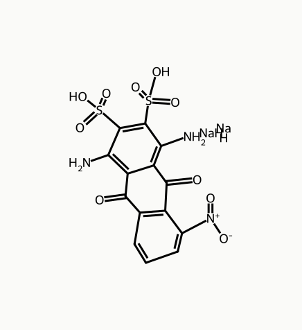 Nc1c2c(c(N)c(S(=O)(=O)O)c1S(=O)(=O)O)C(=O)c1c(cccc1[N+](=O)[O-])C2=O.[NaH].[NaH]